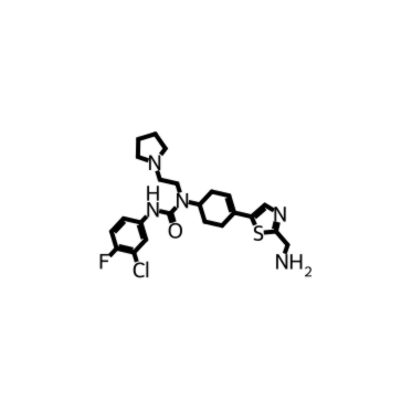 NCc1ncc(C2=CCC(N(CCN3CCCC3)C(=O)Nc3ccc(F)c(Cl)c3)CC2)s1